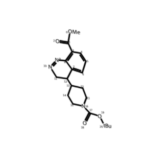 COC(=O)c1cccc2c1N=NCC2C1CCN(C(=O)OC(C)(C)C)CC1